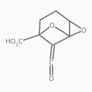 O=C=C1C2(C(=O)O)CCC3OC13O2